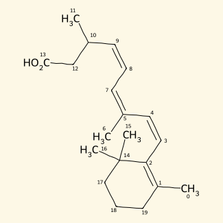 CC1=C(\C=C/C(C)=C\C=C/C(C)CC(=O)O)C(C)(C)CCC1